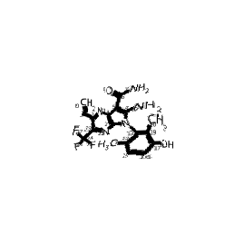 C=Cc1nc2c(C(N)=O)c(N)n(-c3c(C)ccc(O)c3C)c2nc1C(F)(F)F